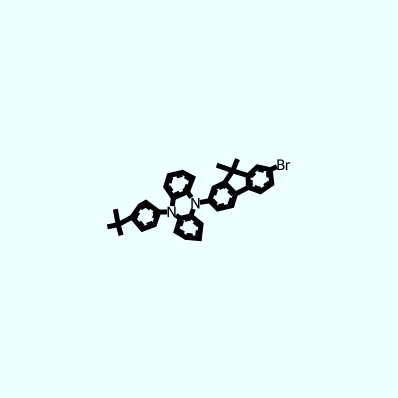 CC(C)(C)c1ccc(N2c3ccccc3N(c3ccc4c(c3)C(C)(C)c3cc(Br)ccc3-4)c3ccccc32)cc1